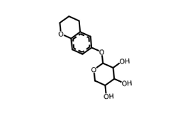 OC1COC(Oc2ccc3c(c2)CCCO3)C(O)C1O